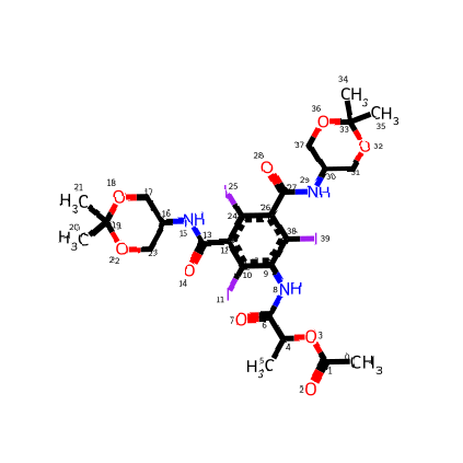 CC(=O)OC(C)C(=O)Nc1c(I)c(C(=O)NC2COC(C)(C)OC2)c(I)c(C(=O)NC2COC(C)(C)OC2)c1I